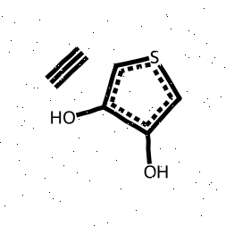 C#C.Oc1cscc1O